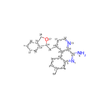 Cc1ccc2c(c1)nc(N)c1nccc(CC3OCc4ccccc43)c12